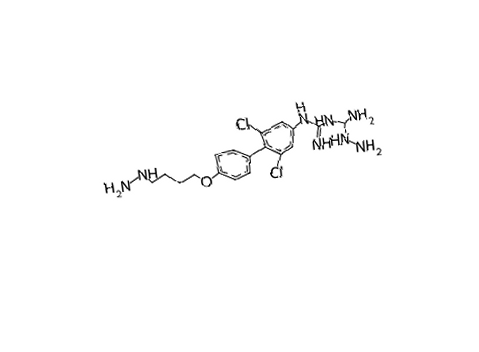 N=C(Nc1cc(Cl)c(-c2ccc(OCCCCNN)cc2)c(Cl)c1)NC(N)NN